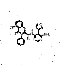 CC[C@H](Nc1ncnc(N)c1-c1ncon1)c1nc2cccc(Cl)c2c(=O)n1-c1ccccc1